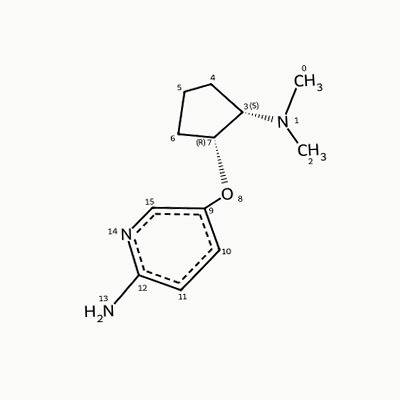 CN(C)[C@H]1CCC[C@H]1Oc1ccc(N)nc1